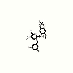 CCc1cc2c(cc1Nc1nc(=O)c(OC)cn1Cc1cc(F)cc(F)c1)OC(F)(F)O2